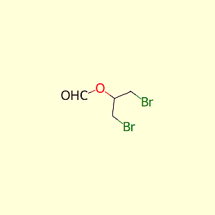 O=COC(CBr)CBr